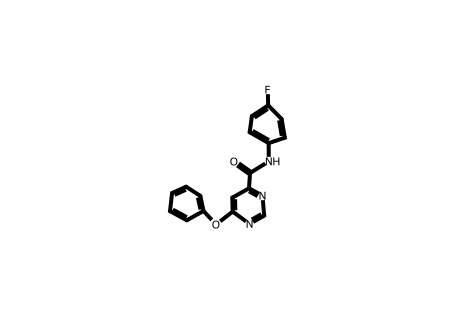 O=C(Nc1ccc(F)cc1)c1cc(Oc2ccccc2)ncn1